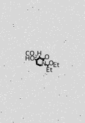 CCOC(CC)n1ccc(O)c(C(=O)O)c1=O